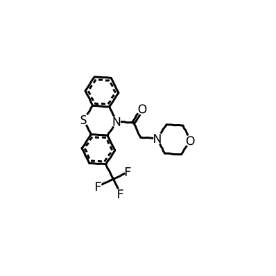 O=C(CN1CCOCC1)N1c2ccccc2Sc2ccc(C(F)(F)F)cc21